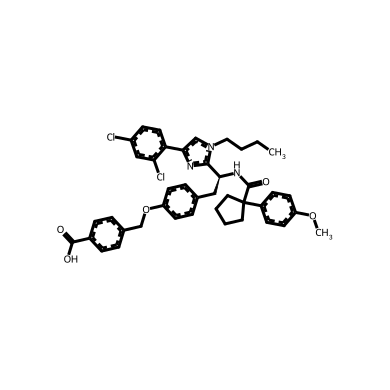 CCCCn1cc(-c2ccc(Cl)cc2Cl)nc1[C@H](Cc1ccc(OCc2ccc(C(=O)O)cc2)cc1)NC(=O)C1(c2ccc(OC)cc2)CCCC1